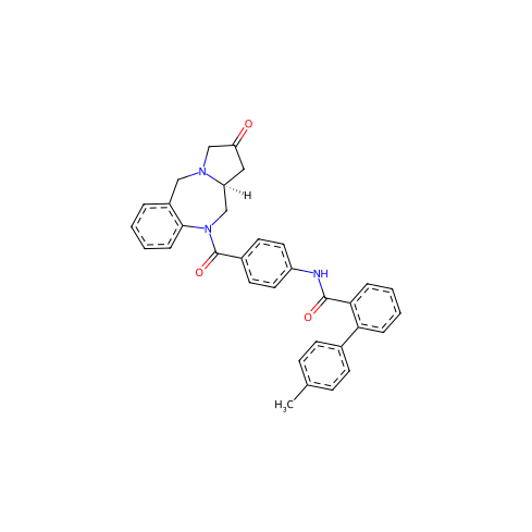 Cc1ccc(-c2ccccc2C(=O)Nc2ccc(C(=O)N3C[C@@H]4CC(=O)CN4Cc4ccccc43)cc2)cc1